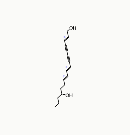 CCCC(O)CC/C=C/C=C/C#CC#C/C=C/CO